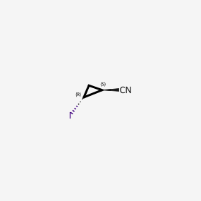 N#C[C@@H]1C[C@H]1I